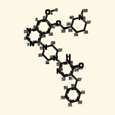 COc1cc2ncnc(N3CCN(c4ncc(Cc5ccccc5)c(=O)[nH]4)CC3)c2cc1OC[C@@H]1CCCN(C)C1